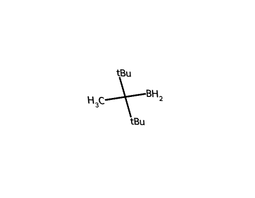 BC(C)(C(C)(C)C)C(C)(C)C